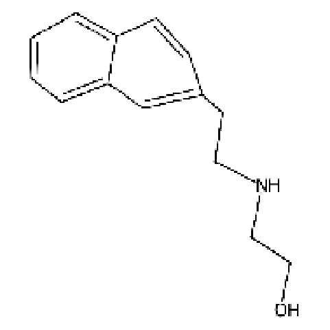 OCCNCCc1ccc2ccccc2c1